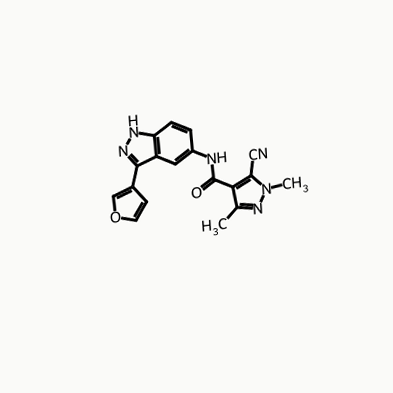 Cc1nn(C)c(C#N)c1C(=O)Nc1ccc2[nH]nc(-c3ccoc3)c2c1